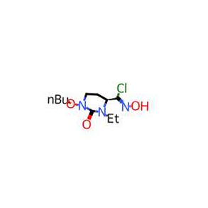 CCCCON1CC[C@@H](C(Cl)=NO)N(CC)C1=O